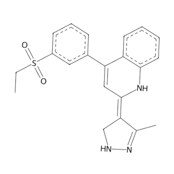 CCS(=O)(=O)c1cccc(C2=C/C(=C3\CNN=C3C)Nc3ccccc32)c1